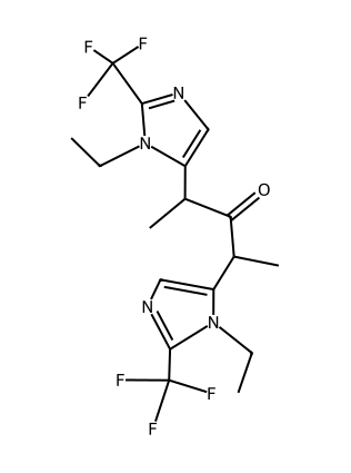 CCn1c(C(C)C(=O)C(C)c2cnc(C(F)(F)F)n2CC)cnc1C(F)(F)F